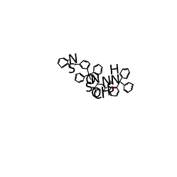 OC(=S)C(=NOC(c1ccccc1)(c1ccccc1)c1cccc(-c2nc3ccccc3s2)c1)c1nc(NC(c2ccccc2)(c2ccccc2)c2ccccc2)sc1Cl